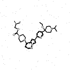 CCOC1(c2ccc(-c3cc4c(N5CCN(C(=O)OC[C@@H](C)F)CC5)ccnn4c3)nc2)CCN(C(C)C)CC1